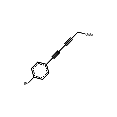 CC(C)COCC#CC#Cc1ccc(C(C)C)cc1